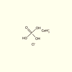 O=P(O)(O)O.[Cl-].[GeH3+]